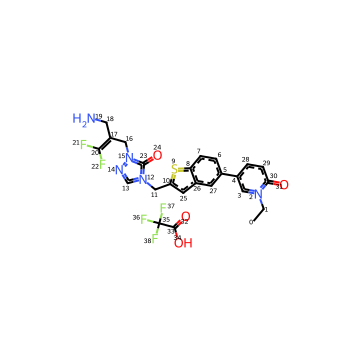 CCn1cc(-c2ccc3sc(Cn4cnn(CC(CN)=C(F)F)c4=O)cc3c2)ccc1=O.O=C(O)C(F)(F)F